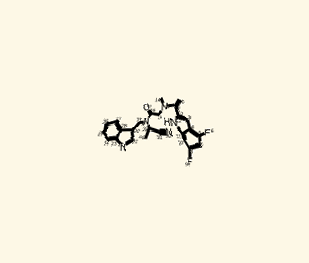 C=C(c1cc2c(F)cc(F)cc2[nH]1)N(C)CC(=O)N(CC1C=Nc2ccccc21)C(C)C#N